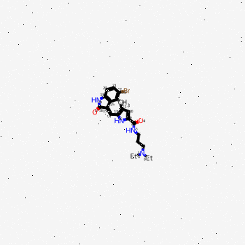 CCN(CC)CCCNC(=O)c1cc(C)c(C=C2C(=O)Nc3ccc(Br)cc32)[nH]1